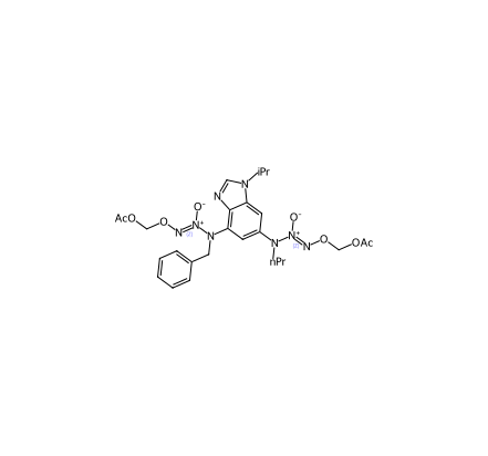 CCCN(c1cc(N(Cc2ccccc2)/[N+]([O-])=N/OCOC(C)=O)c2ncn(C(C)C)c2c1)/[N+]([O-])=N/OCOC(C)=O